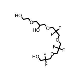 OCCOCC(O)COCC(F)(F)COCC(F)(F)COCC(F)(F)CO